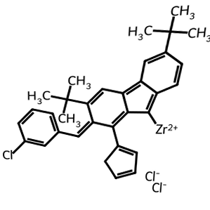 CC(C)(C)c1ccc2c(c1)=c1cc(C(C)(C)C)c(=Cc3cccc(Cl)c3)c(C3=CC=CC3)c1[C]=2[Zr+2].[Cl-].[Cl-]